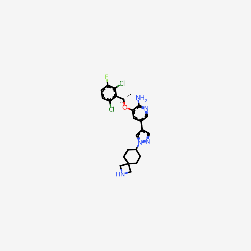 C[C@H](Oc1cc(-c2cnn(C3CCC4(CC3)CNC4)c2)cnc1N)c1c(Cl)ccc(F)c1Cl